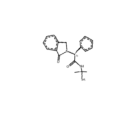 CC(C)(S)NC(=O)[C@H](c1ccccc1)N1Cc2ccccc2C1=O